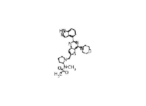 CN(C1CCCN1Cc1cc2nc(-c3cccc4[nH]ncc34)nc(N3CCOCC3)c2s1)S(C)(=O)=O